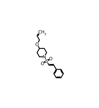 C=CCOC1CCN(S(=O)(=O)C=Cc2ccccc2)CC1